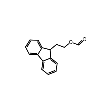 O=COCCC1c2ccccc2-c2ccccc21